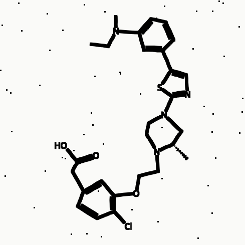 CCN(C)c1cccc(-c2cnc(N3CCN(CCOc4cc(CC(=O)O)ccc4Cl)[C@@H](C)C3)s2)c1